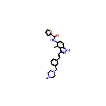 Cc1c(NC(=O)c2cccs2)ccc2[nH]nc(/C=C/c3cccc(CN4CCN(C)CC4)c3)c12